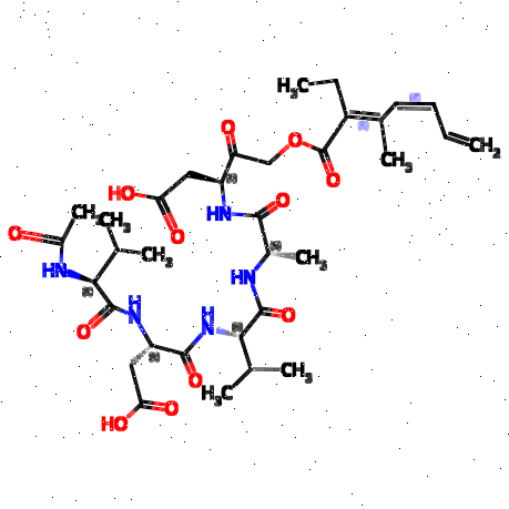 C=C/C=C\C(C)=C(/CC)C(=O)OCC(=O)[C@H](CC(=O)O)NC(=O)[C@H](C)NC(=O)[C@@H](NC(=O)[C@H](CC(=O)O)NC(=O)[C@@H](NC(C)=O)C(C)C)C(C)C